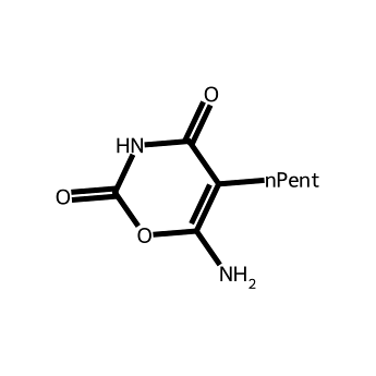 CCCCCc1c(N)oc(=O)[nH]c1=O